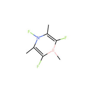 CB1C(F)=C(C)N(F)C(C)=C1F